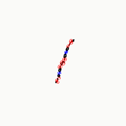 C=CC(=O)OCCOc1ccc(/N=N/c2ccc(C(=O)O[C@@H]3COC4C3OC[C@H]4OC(=O)c3ccc(/N=N/c4ccc(OCCOC(=O)C=C)cc4)cc3)cc2)cc1